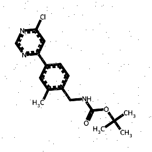 Cc1cc(-c2cc(Cl)ncn2)ccc1CNC(=O)OC(C)(C)C